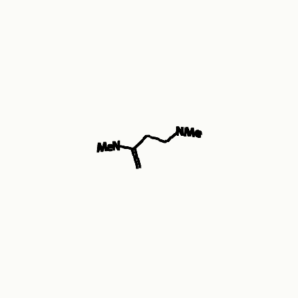 C=C(CCNC)NC